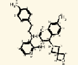 Cc1ccc(CCNc2cccnc2N[C@H](C=O)C(c2ccc(C)cc2)N2CC3(COC3)C2)cc1